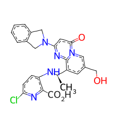 C[C@@H](Nc1ccc(Cl)nc1C(=O)O)c1cc(CO)cn2c(=O)cc(N3Cc4ccccc4C3)nc12